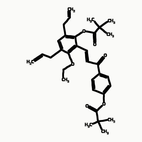 C=CCc1cc(CC=C)c(OC(=O)C(C)(C)C)c(/C=C/C(=O)c2ccc(OC(=O)C(C)(C)C)cc2)c1OCC